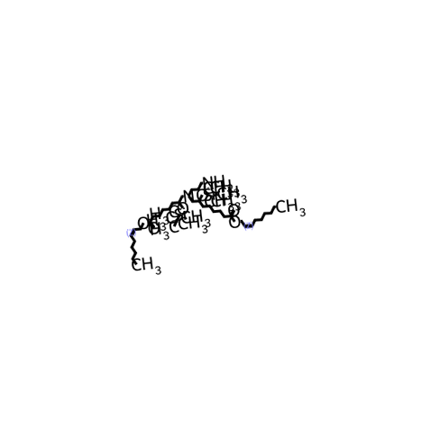 CCCCC/C=C\COC(=O)CCCCCC(CN(CCCN)CC(CCCCCC(=O)OC/C=C\CCCCCC)O[Si](C)(C)C(C)(C)C)O[Si](C)(C)C(C)(C)C